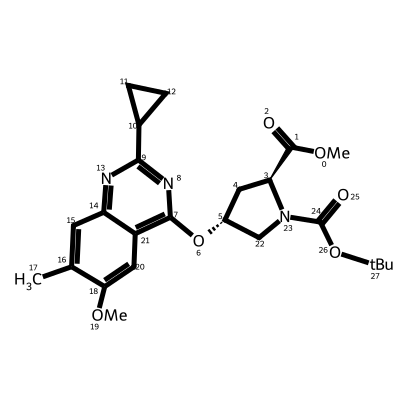 COC(=O)[C@@H]1C[C@@H](Oc2nc(C3CC3)nc3cc(C)c(OC)cc23)CN1C(=O)OC(C)(C)C